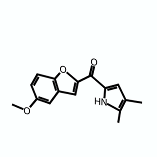 COc1ccc2oc(C(=O)c3cc(C)c(C)[nH]3)cc2c1